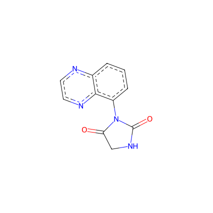 O=C1CNC(=O)N1c1cccc2nccnc12